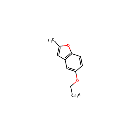 Cc1cc2cc(OCC(=O)O)ccc2o1